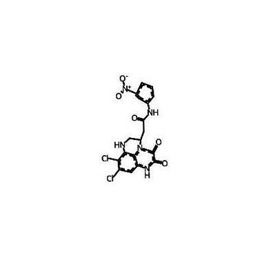 O=C(CC1CNc2c(Cl)c(Cl)cc3[nH]c(=O)c(=O)n1c23)Nc1cccc([N+](=O)[O-])c1